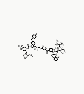 CN[C@@H](C)C(=O)N[C@H](C(=O)N1Cc2ccc(NC(=O)CC(=O)NCCCC3(C)CN(C(=O)CN4C[C@@H](C)NC[C@@H]4CN4CCOC[C@H]4C)c4cc(Cc5ccc(F)cc5)ccc43)cc2[C@H]1C(=O)Nc1c(F)cccc1F)C1CCOCC1